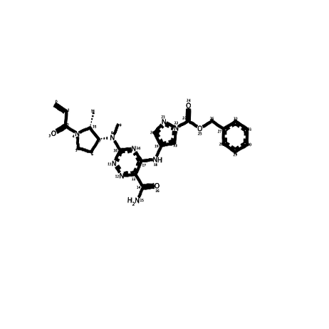 C=CC(=O)N1CC[C@@H](N(C)c2nnc(C(N)=O)c(Nc3cnn(C(=O)OCc4ccccc4)c3)n2)[C@H]1C